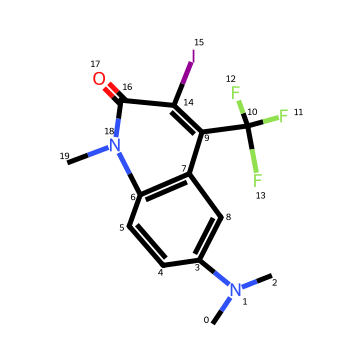 CN(C)c1ccc2c(c1)c(C(F)(F)F)c(I)c(=O)n2C